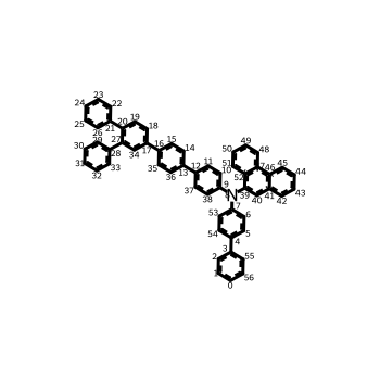 c1ccc(-c2ccc(N(c3ccc(-c4ccc(-c5ccc(-c6ccccc6)c(-c6ccccc6)c5)cc4)cc3)c3cc4ccccc4c4ccccc34)cc2)cc1